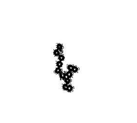 c1cc(-c2ccc(-c3cccc(-c4cccc5c4sc4ccccc45)c3)cc2)cc(-c2cnc3c4cc(-c5cccc6ccccc56)ccc4c4ccc(-c5cccc6ccccc56)cc4c3n2)c1